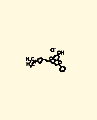 CN(C)c1ccc(/C=C/c2cc3c4c(cc(O)cc4[o+]2)OC(c2ccccc2)=C3)cc1.[Cl-]